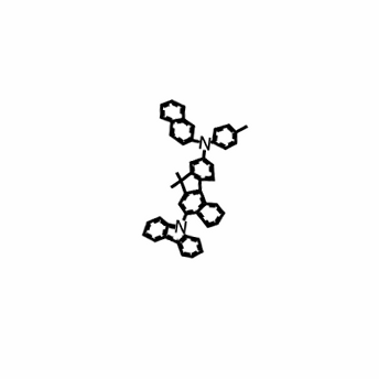 Cc1ccc(N(c2ccc3c(c2)C(C)(C)c2cc(-n4c5ccccc5c5ccccc54)c4ccccc4c2-3)c2ccc3ccccc3c2)cc1